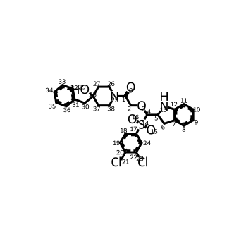 O=C(COC(C1Cc2ccccc2N1)S(=O)(=O)c1ccc(Cl)c(Cl)c1)N1CCC(O)(Cc2ccccc2)CC1